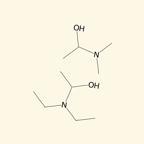 CC(O)N(C)C.CCN(CC)C(C)O